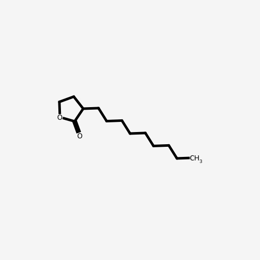 CCCCCCCCCC1CCOC1=O